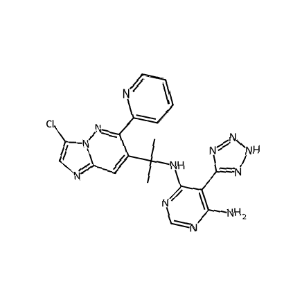 CC(C)(Nc1ncnc(N)c1-c1nn[nH]n1)c1cc2ncc(Cl)n2nc1-c1ccccn1